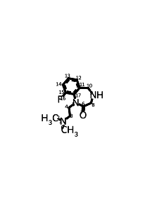 CN(C)CCN1C(=O)CNCc2cccc(F)c21